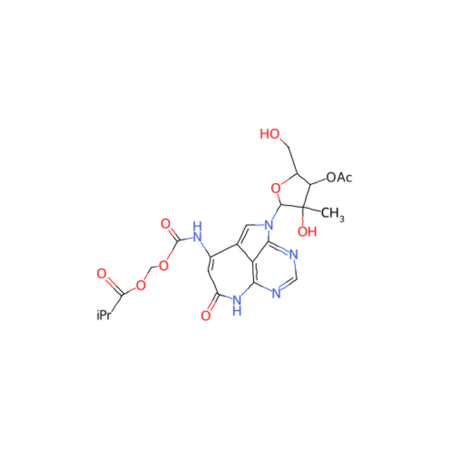 CC(=O)OC1C(CO)OC(n2cc3c4c(ncnc42)NC(=O)C=C3NC(=O)OCOC(=O)C(C)C)C1(C)O